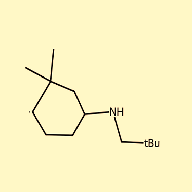 CC(C)(C)CNC1CC[CH]C(C)(C)C1